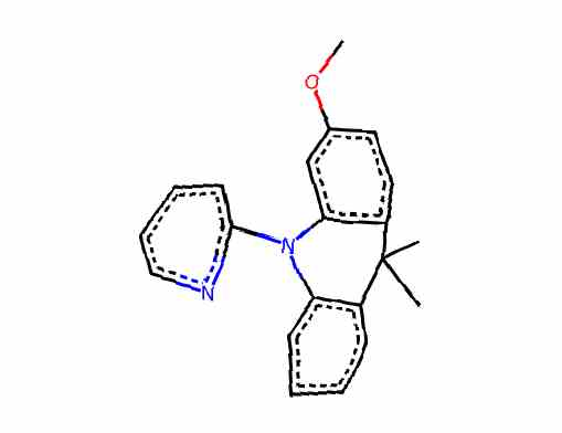 COc1ccc2c(c1)N(c1ccccn1)c1ccccc1C2(C)C